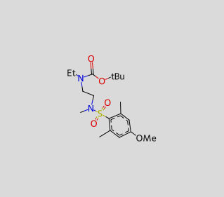 CCN(CCN(C)S(=O)(=O)c1c(C)cc(OC)cc1C)C(=O)OC(C)(C)C